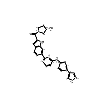 O=C(c1cc2ccc(-c3nccc(Nc4ccc(-c5cn[nH]c5)cc4)n3)cc2[nH]1)N1CC[C@H](O)C1